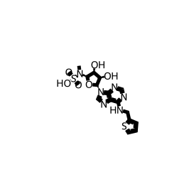 CN([C@@H]1O[C@@H](n2cnc3c(NCc4cccs4)ncnc32)[C@H](O)[C@@H]1O)S(=O)(=O)O